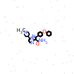 CN1CCC(c2ccnc3c(C(N)=O)c(-c4ccc(Oc5ccccc5)cc4)nn23)CC1